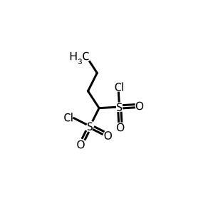 CCCC(S(=O)(=O)Cl)S(=O)(=O)Cl